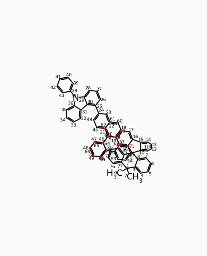 CC1(C)c2ccccc2C2(c3ccccc3-c3ccc(N(c4ccc(-c5cccc6c5c5ccccc5n6-c5ccccc5)cc4)c4ccccc4-c4ccccc4-c4ccccc4-c4ccccc4)cc32)c2ccccc21